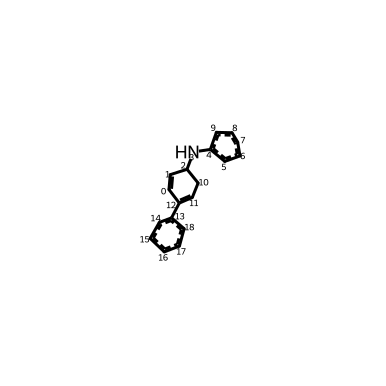 C1=CC(Nc2ccccc2)CC=C1c1ccccc1